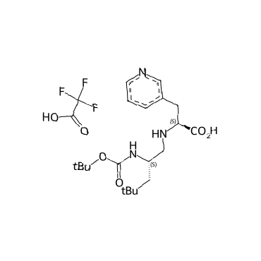 CC(C)(C)C[C@@H](CN[C@@H](Cc1cccnc1)C(=O)O)NC(=O)OC(C)(C)C.O=C(O)C(F)(F)F